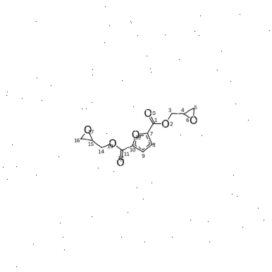 O=C(OCC1CO1)c1ccc(C(=O)OCC2CO2)o1